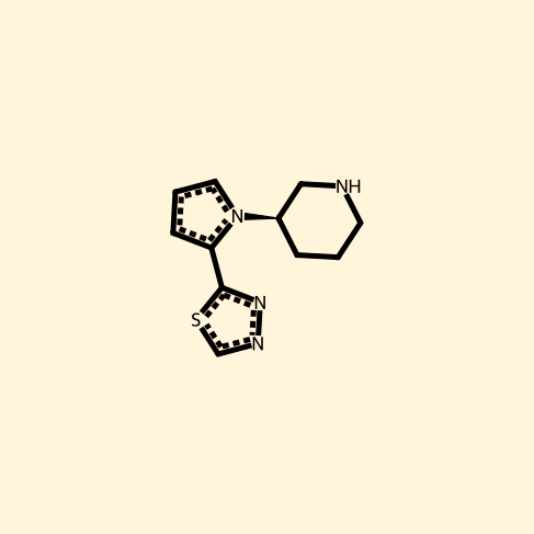 c1cc(-c2nncs2)n([C@@H]2CCCNC2)c1